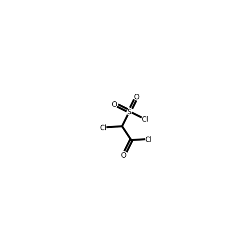 O=C(Cl)C(Cl)S(=O)(=O)Cl